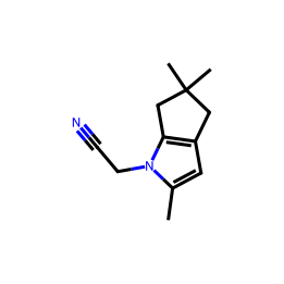 Cc1cc2c(n1CC#N)CC(C)(C)C2